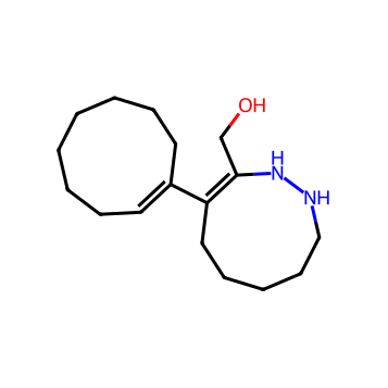 OCC1=C(C2=CCCCCCCC2)CCCCCNN1